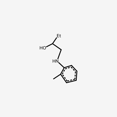 CCC(O)CNc1ccccc1C